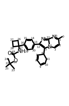 Cc1ccn2c(C3C=CC=CC3)c(-c3ccc(C4(NC(=O)OC(C)(C)C)CCC4)cc3)nc2n1